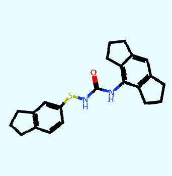 O=C(NSc1ccc2c(c1)CCC2)Nc1c2c(cc3c1CCC3)CCC2